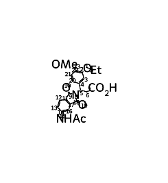 CCOc1cc(C(CC(=O)O)N2C(=O)c3ccc(NC(C)=O)cc3C2=O)ccc1OC